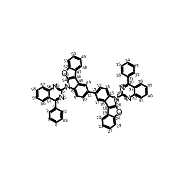 c1ccc(-c2nc(-n3c4ccc(-c5ccc6c(c5)c5c7ccccc7oc5n6-c5nc(-c6ccccc6)c6ccccc6n5)cc4c4c5ccccc5oc43)nc3ccccc23)cc1